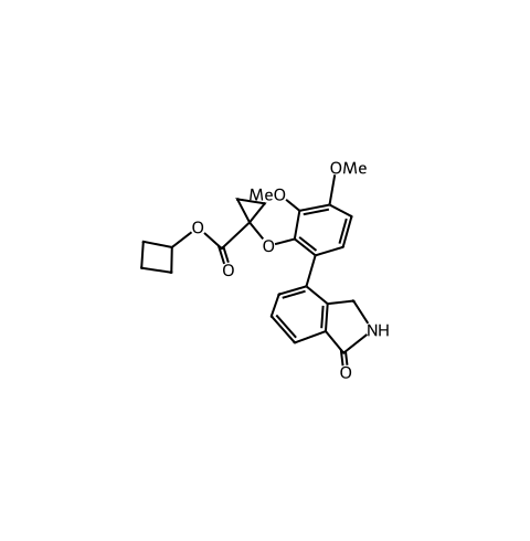 COc1ccc(-c2cccc3c2CNC3=O)c(OC2(C(=O)OC3CCC3)CC2)c1OC